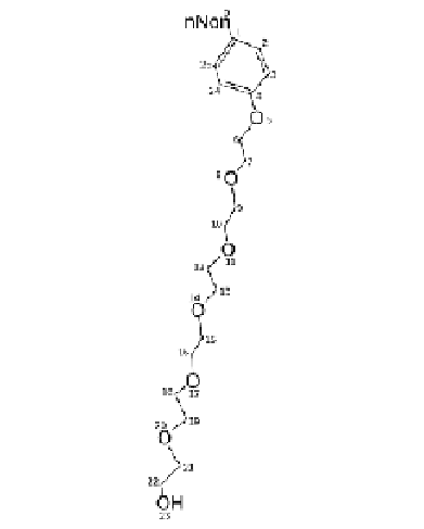 CCCCCCCCCc1ccc(OCCOCCOCCOCCOCCOCCO)cc1